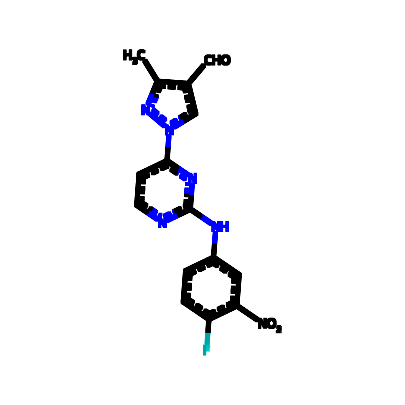 Cc1nn(-c2ccnc(Nc3ccc(F)c([N+](=O)[O-])c3)n2)cc1C=O